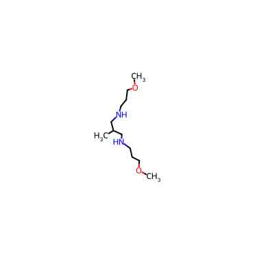 COCCCNCC(C)CNCCCOC